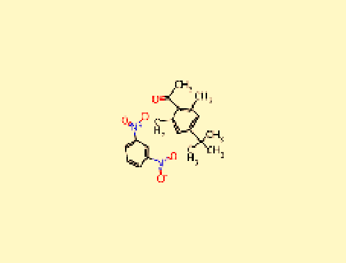 CC(=O)c1c(C)cc(C(C)(C)C)cc1C.O=[N+]([O-])c1cccc([N+](=O)[O-])c1